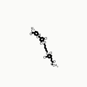 COC(=O)CCc1cc(Cl)c(OCC/C=C/CCOc2c(Cl)cc(-c3nc4ccc(C(C)=O)cc4o3)cc2Cl)c(Cl)c1